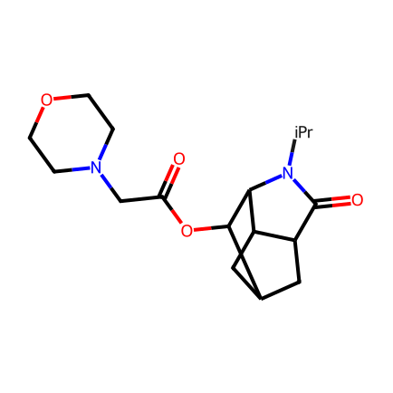 CC(C)N1C(=O)C2CC3CC2C1C3OC(=O)CN1CCOCC1